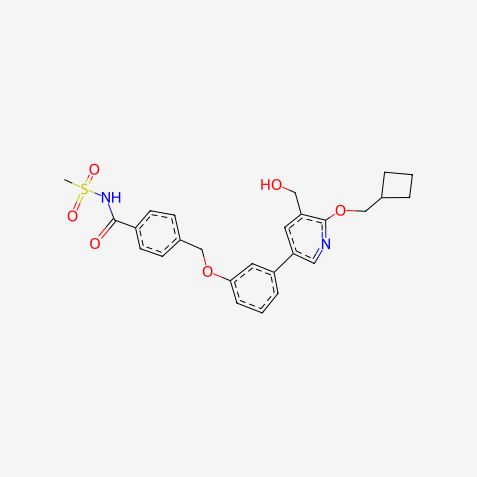 CS(=O)(=O)NC(=O)c1ccc(COc2cccc(-c3cnc(OCC4CCC4)c(CO)c3)c2)cc1